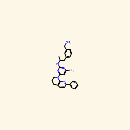 CC(Cc1cccc(CN)c1)Nc1nc(N2CCCc3ccc(-c4ccccc4)nc32)cc(C(F)(F)F)n1